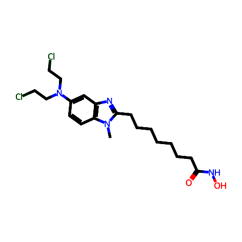 Cn1c(CCCCCCCC(=O)NO)nc2cc(N(CCCl)CCCl)ccc21